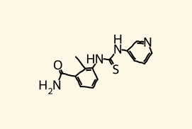 Cc1c(NC(=S)Nc2cccnc2)cccc1C(N)=O